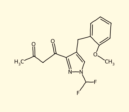 COc1ccccc1Cc1cn(C(F)F)nc1C(=O)CC(C)=O